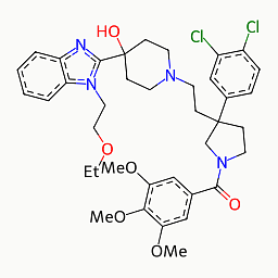 CCOCCn1c(C2(O)CCN(CCC3(c4ccc(Cl)c(Cl)c4)CCN(C(=O)c4cc(OC)c(OC)c(OC)c4)C3)CC2)nc2ccccc21